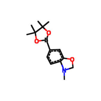 CN1COc2cc(B3OC(C)(C)C(C)(C)O3)ccc21